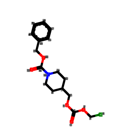 O=C(OCCl)OCC1CCN(C(=O)OCc2ccccc2)CC1